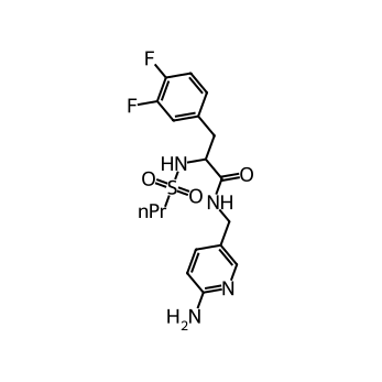 CCCS(=O)(=O)NC(Cc1ccc(F)c(F)c1)C(=O)NCc1ccc(N)nc1